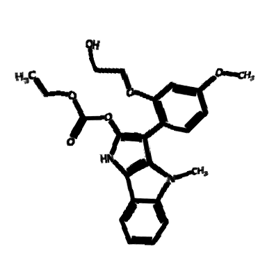 CCOC(=O)Oc1[nH]c2c3ccccc3n(C)c2c1-c1ccc(OC)cc1OCCO